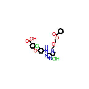 Cl.O=C(O)c1ccc(Oc2ccc(Nc3ncnc4ccn(CCOCCOC(=O)c5ccccc5)c34)cc2Cl)cc1